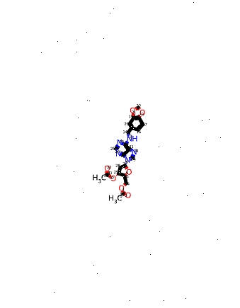 CC(=O)OCC1O[C@@H](n2cnc3c(NCc4ccc5c(c4)OCO5)ncnc32)C[C@H]1OC(C)=O